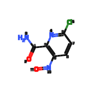 NC(=O)c1nc(Cl)ccc1N=O